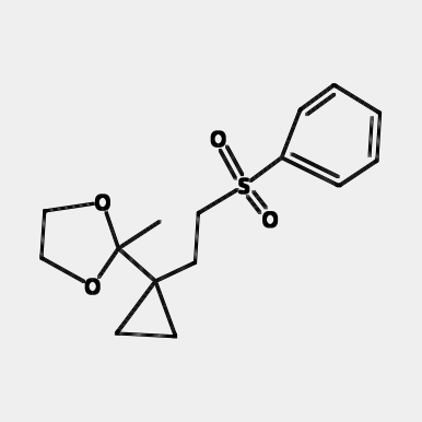 CC1(C2(CCS(=O)(=O)c3ccccc3)CC2)OCCO1